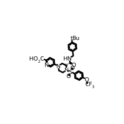 CC(C)(C)c1ccc(CNC(=O)[C@H]2CN(c3ccc(C(=O)O)nc3)CCN2S(=O)(=O)c2ccc(OC(F)(F)F)cc2)cc1